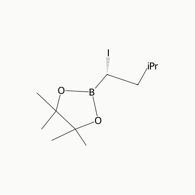 CC(C)C[C@@H](I)B1OC(C)(C)C(C)(C)O1